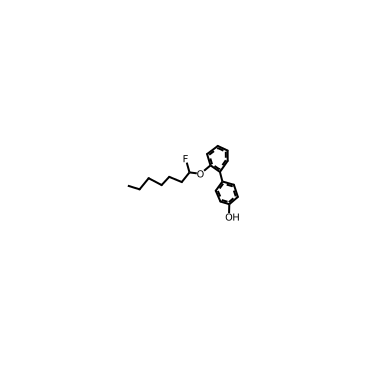 CCCCCCC(F)Oc1ccccc1-c1ccc(O)cc1